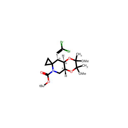 COC1(C)O[C@@H]2[C@@H](C=C(Br)Br)C3(CC3)N(C(=O)OC(C)(C)C)C[C@H]2OC1(C)OC